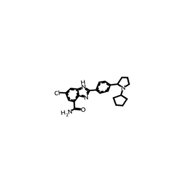 NC(=O)c1cc(Cl)cc2[nH]c(-c3ccc(C4CCCN4C4CCCC4)cc3)nc12